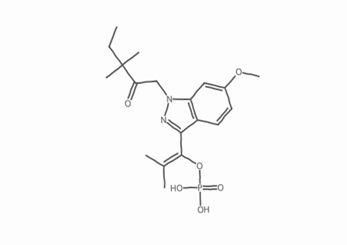 CCC(C)(C)C(=O)Cn1nc(C(OP(=O)(O)O)=C(C)C)c2ccc(OC)cc21